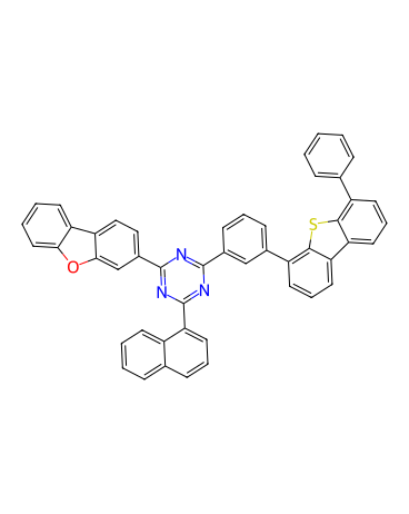 c1ccc(-c2cccc3c2sc2c(-c4cccc(-c5nc(-c6ccc7c(c6)oc6ccccc67)nc(-c6cccc7ccccc67)n5)c4)cccc23)cc1